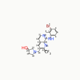 Cc1c(Br)cccc1Nc1nccc2cc(CN3CCC(O)C3)c(C(F)(F)F)nc12